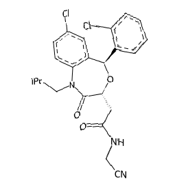 CC(C)CN1C(=O)[C@@H](CC(=O)NCC#N)O[C@H](c2ccccc2Cl)c2cc(Cl)ccc21